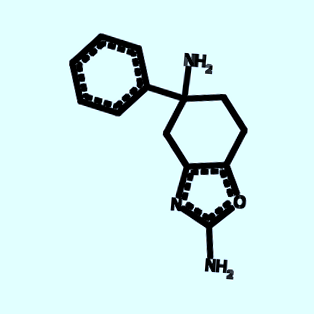 Nc1nc2c(o1)CCC(N)(c1ccccc1)C2